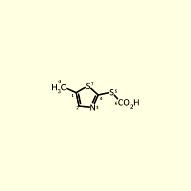 Cc1cnc(SC(=O)O)s1